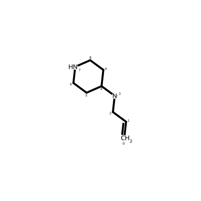 C=CC[N]C1CCNCC1